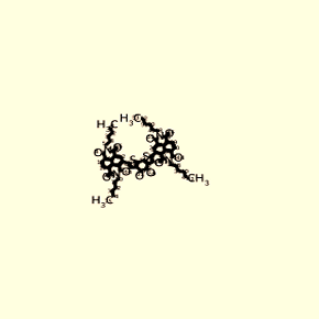 CCCCCCN1C(=O)c2ccc3c4c(c(-c5cc6c(s5)-c5sc(-c7cc8c9c(ccc%10c9c7C(=O)N(CCCCCC)C%10=O)C(=O)N(CCCCCC)C8=O)cc5C(=O)C6=O)cc(c24)C1=O)C(=O)N(CCCCCC)C3=O